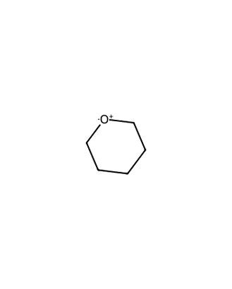 C1CC[O+]CC1